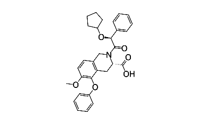 COc1ccc2c(c1Oc1ccccc1)C[C@@H](C(=O)O)N(C(=O)[C@@H](OC1CCCC1)c1ccccc1)C2